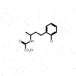 CCOC(=O)C(=O)NC(C)CCc1ccccc1Cl